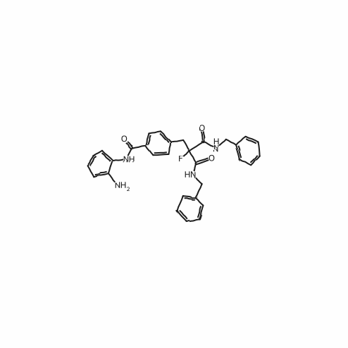 Nc1ccccc1NC(=O)c1ccc(CC(F)(C(=O)NCc2ccccc2)C(=O)NCc2ccccc2)cc1